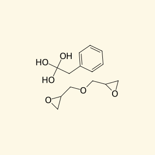 C(OCC1CO1)C1CO1.OC(O)(O)Cc1ccccc1